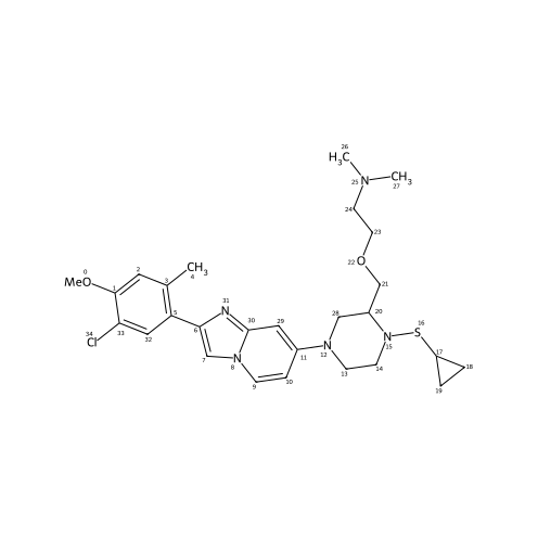 COc1cc(C)c(-c2cn3ccc(N4CCN(SC5CC5)C(COCCN(C)C)C4)cc3n2)cc1Cl